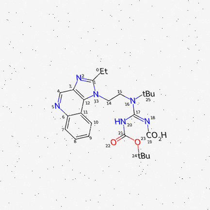 CCc1nc2cnc3ccccc3c2n1CCN(C(=NC(=O)O)NC(=O)OC(C)(C)C)C(C)(C)C